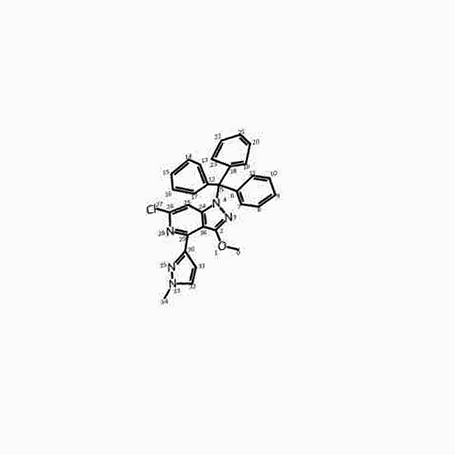 COc1nn(C(c2ccccc2)(c2ccccc2)c2ccccc2)c2cc(Cl)nc(-c3ccn(C)n3)c12